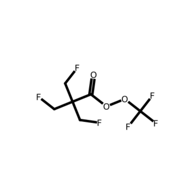 O=C(OOC(F)(F)F)C(CF)(CF)CF